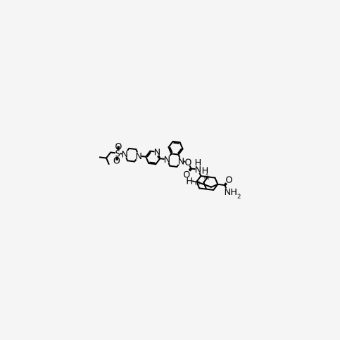 CC(C)CS(=O)(=O)N1CCN(c2ccc(N3CCN(OC(=O)NC4[C@@H]5CC6C[C@H]4CC(C(N)=O)(C6)C5)c4ccccc43)nc2)CC1